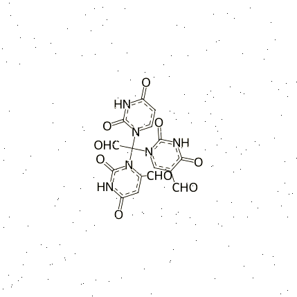 O=Cc1cn(C(C=O)(n2ccc(=O)[nH]c2=O)n2c(C=O)cc(=O)[nH]c2=O)c(=O)[nH]c1=O